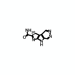 NC(=O)c1nc2[nH]c3cnncc3c2s1